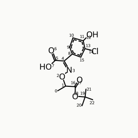 CC(ON=C(C(=O)O)c1ccc(O)c(Cl)c1)C(=O)OC(C)(C)C